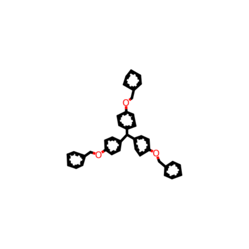 c1ccc(COc2ccc(C(c3ccc(OCc4ccccc4)cc3)c3ccc(OCc4ccccc4)cc3)cc2)cc1